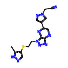 Cc1[nH]ncc1SCCn1nnc2ncc(-c3cnn(CC#N)c3)nc21